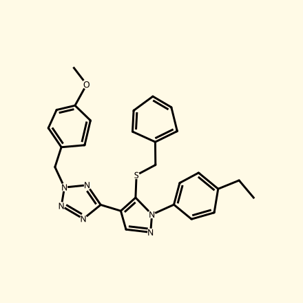 CCc1ccc(-n2ncc(-c3nnn(Cc4ccc(OC)cc4)n3)c2SCc2ccccc2)cc1